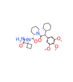 COc1cc(C(C(=O)N2CCCC[C@H]2C(=O)NC2(C(N)=O)CCC2)C2CCCCC2)cc(OC)c1OC